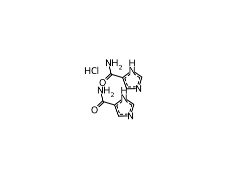 Cl.NC(=O)c1cnc[nH]1.NC(=O)c1cnc[nH]1